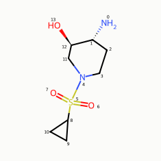 N[C@@H]1CCN(S(=O)(=O)C2CC2)C[C@H]1O